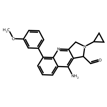 COc1cccc(-c2cccc3c(N)c4c(nc23)CN(C2CC2)C4C=O)c1